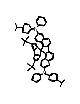 CC(C)c1ccc(N(c2ccccc2)c2ccc3c4c(ccc3c2)-c2ccc3cc(N(c5ccccc5)c5ccc(C(C)C)cc5)ccc3c2C42c3ccc(C(C)(C)C)cc3-c3cc(C(C)(C)C)ccc32)cc1